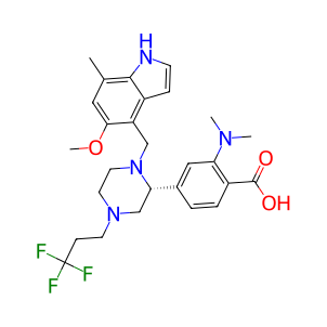 COc1cc(C)c2[nH]ccc2c1CN1CCN(CCC(F)(F)F)C[C@H]1c1ccc(C(=O)O)c(N(C)C)c1